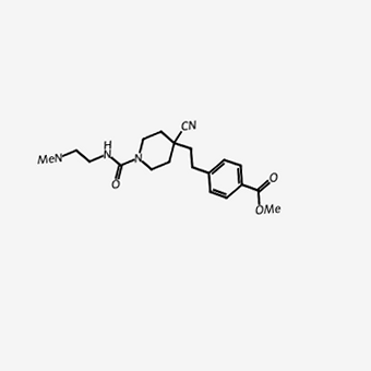 CNCCNC(=O)N1CCC(C#N)(CCc2ccc(C(=O)OC)cc2)CC1